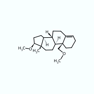 COC[C@]12CCCC=C1CC[C@@H]1[C@@H]2CC[C@]2(C)[C@@H](OC)CC[C@@H]12